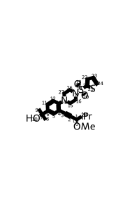 CO[C@H](C#Cc1cc(C(C)(C)O)ccc1N1CCN(S(=O)(=O)c2cccs2)CC1)C(C)C